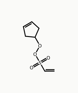 C=CS(=O)(=O)OOC1CC=CC1